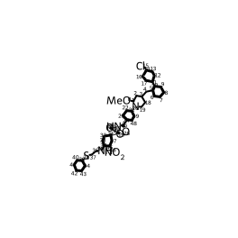 COC1CC(Cc2ccccc2-c2ccc(Cl)cc2)CCN1c1ccc(C(=O)NS(=O)(=O)c2ccc(NCCSc3ccccc3)c([N+](=O)[O-])c2)cc1